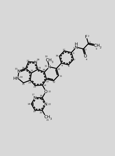 C=C(F)C(=O)Nc1ccc(C2=CC=c3c(Oc4nccc(C)n4)cc4c5c(cnc-5c3N2C)=NNC4)cc1